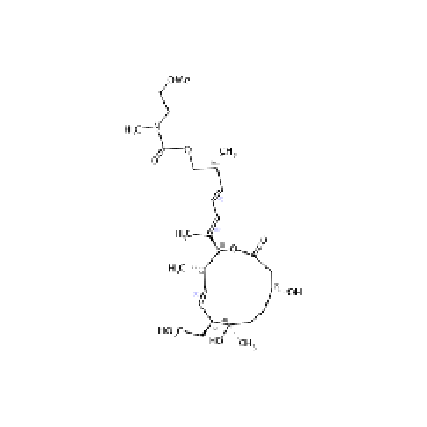 COCCN(C)C(=O)OC[C@H](C)/C=C/C=C(\C)[C@H]1OC(=O)C[C@H](O)CC[C@@](C)(O)[C@@H](CC(=O)O)/C=C/[C@@H]1C